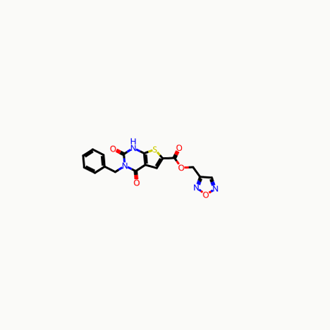 O=C(OCc1cnon1)c1cc2c(=O)n(Cc3ccccc3)c(=O)[nH]c2s1